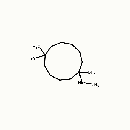 BC1(BC)CCCCCC(C)(C(C)C)CCCC1